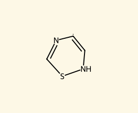 [C]1=CNSC=N1